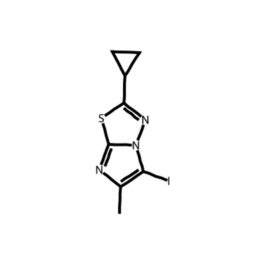 Cc1nc2sc(C3CC3)nn2c1I